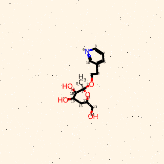 C[C@]1(OCCc2cccnc2)OC(CO)CC(O)C1O